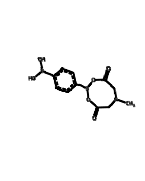 CN1CC(=O)OB(c2ccc(B(O)O)cc2)OC(=O)C1